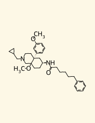 COc1cccc([C@@]23CCN(CC4CC4)C[C@@]2(OC)CC[C@H](NC(=O)CCCCCc2ccccc2)C3)c1